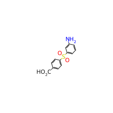 Nc1cccc(S(=O)(=O)c2ccc(C(=O)O)cc2)c1